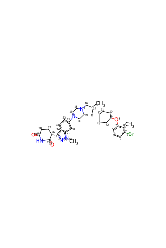 Cc1c(Br)cccc1OC1CCC(CC(C)CN2CCN(c3ccc4c(C5CCC(=O)NC5=O)nn(C)c4c3)CC2)CC1